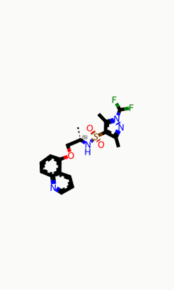 Cc1nn(C(F)F)c(C)c1S(=O)(=O)N[C@@H](C)COc1cccc2ncccc12